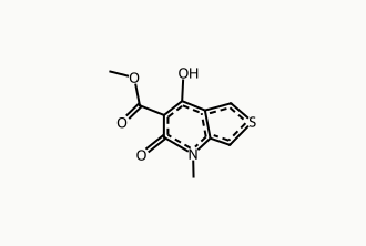 COC(=O)c1c(O)c2cscc2n(C)c1=O